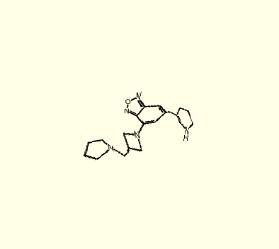 C1=C(c2cc(N3CC(CN4CCCC4)C3)c3nonc3c2)CCCN1